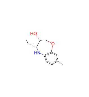 CC[C@H]1Nc2ccc(C)cc2OC[C@H]1O